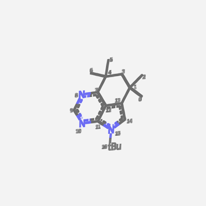 CC1(C)CC(C)(C)c2ncnc3c2c1cn3C(C)(C)C